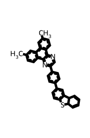 Cc1ccc2c(c1)c1cc(C)ccc1c1nc(-c3ccc(-c4ccc5c(c4)C4C=CC=CC4S5)cc3)cnc21